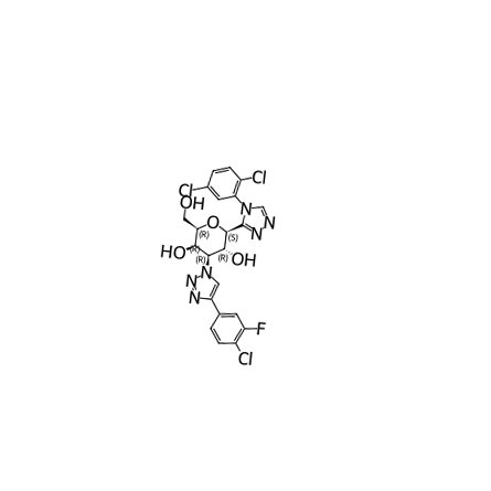 OC[C@H]1O[C@@H](c2nncn2-c2cc(Cl)ccc2Cl)[C@H](O)[C@@H](n2cc(-c3ccc(Cl)c(F)c3)nn2)[C@H]1O